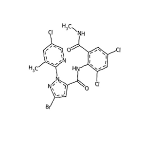 CNC(=O)c1cc(Cl)cc(Cl)c1NC(=O)c1cc(Br)nn1-c1ncc(Cl)cc1C